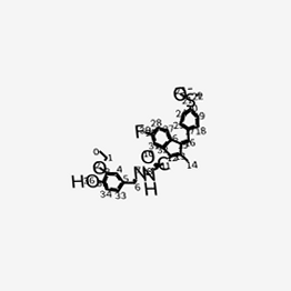 CCOc1cc(C=NNC(=O)CC2=C(C)/C(=C/c3ccc([S+](C)[O-])cc3)c3ccc(F)cc32)ccc1O